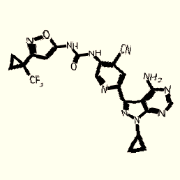 N#Cc1cc(-c2nn(C3CC3)c3ncnc(N)c23)ncc1NC(=O)Nc1cc(C2(C(F)(F)F)CC2)no1